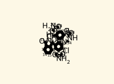 NS(=O)(=O)c1cc(C2(O)NC(=O)c3ccccc32)ccc1Cl.NS(=O)(=O)c1cc2c(cc1Cl)NCNS2(=O)=O